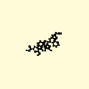 COC(=O)CCc1c(C(=O)OC)n(C)c2c(-c3c(CSCc4cc(CO)nn4C4CCCCO4)nn(C)c3C)c(Cl)ccc12